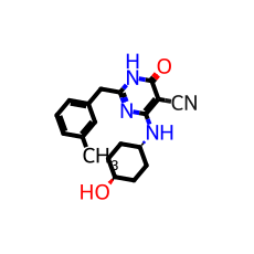 Cc1cccc(Cc2nc(N[C@H]3CC[C@H](O)CC3)c(C#N)c(=O)[nH]2)c1